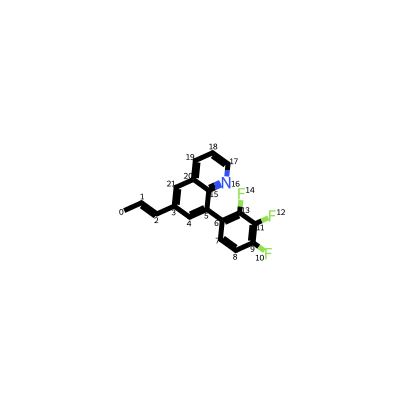 CC=Cc1cc(-c2ccc(F)c(F)c2F)c2ncccc2c1